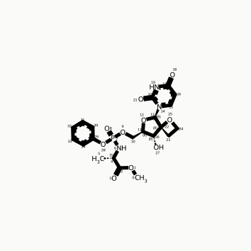 COC(=O)[C@H](C)NP(=O)(OC[C@H]1O[C@@H](n2ccc(=O)[nH]c2=O)[C@@]2(CCO2)[C@@H]1O)Oc1ccccc1